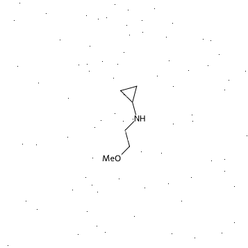 COCCNC1CC1